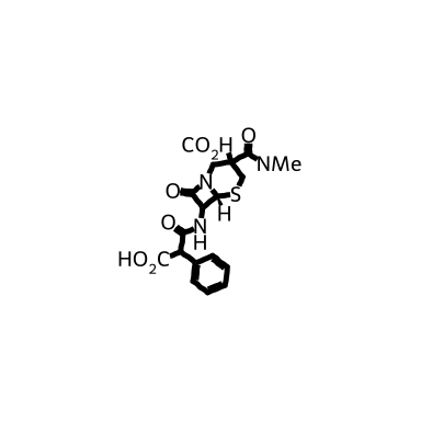 CNC(=O)C1(C(=O)O)CS[C@@H]2C(NC(=O)C(C(=O)O)c3ccccc3)C(=O)N2C1